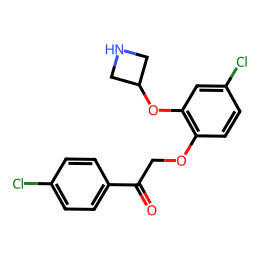 O=C(COc1ccc(Cl)cc1OC1CNC1)c1ccc(Cl)cc1